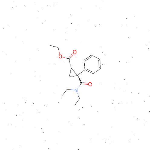 CCOC(=O)C1C[C@@]1(C(=O)N(CC)CC)c1ccccc1